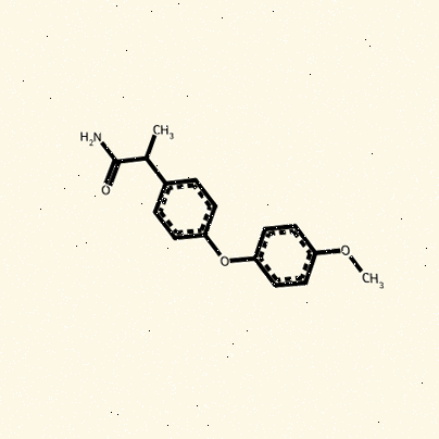 COc1ccc(Oc2ccc(C(C)C(N)=O)cc2)cc1